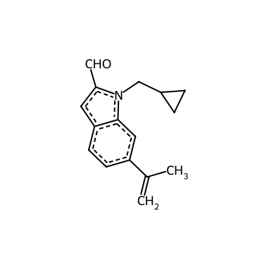 C=C(C)c1ccc2cc(C=O)n(CC3CC3)c2c1